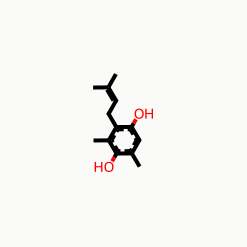 CC(C)=CCc1c(O)cc(C)c(O)c1C